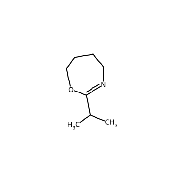 CC(C)C1=NCCCCO1